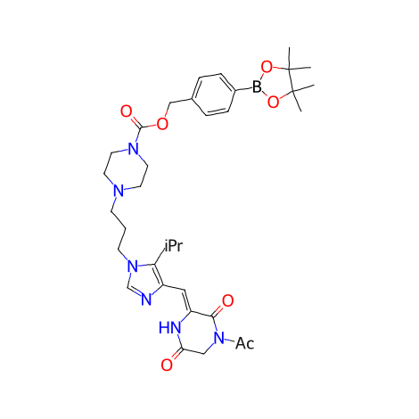 CC(=O)N1CC(=O)N/C(=C\c2ncn(CCCN3CCN(C(=O)OCc4ccc(B5OC(C)(C)C(C)(C)O5)cc4)CC3)c2C(C)C)C1=O